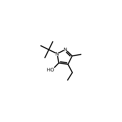 CCc1c(C)nn(C(C)(C)C)c1O